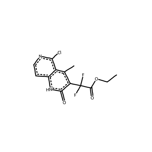 CCOC(=O)C(F)(F)c1c(C)c2c(Cl)nccc2[nH]c1=O